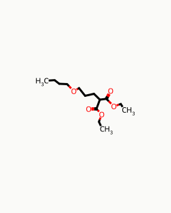 CCCCOCCCC(C(=O)OCC)C(=O)OCC